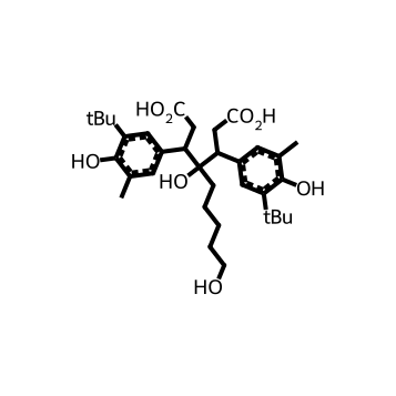 Cc1cc(C(CC(=O)O)C(O)(CCCCCO)C(CC(=O)O)c2cc(C)c(O)c(C(C)(C)C)c2)cc(C(C)(C)C)c1O